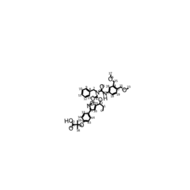 CCC(OC(=O)N(Cc1ccccc1)C(=O)Nc1ccc(COC)c(COC)c1)c1cc(-c2ccc(OC(C)(C)C(=O)O)cc2)no1